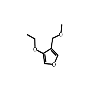 CCOc1cocc1COC